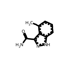 Cc1cccc2[nH]nc(C(N)=O)c12